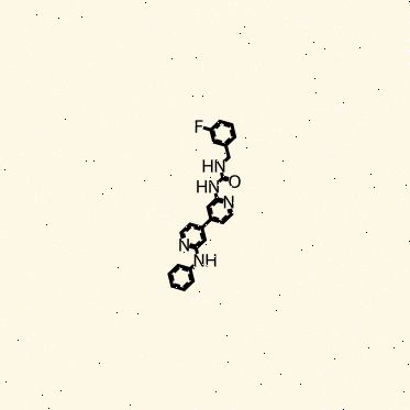 O=C(NCc1cccc(F)c1)Nc1cc(-c2ccnc(Nc3ccccc3)c2)ccn1